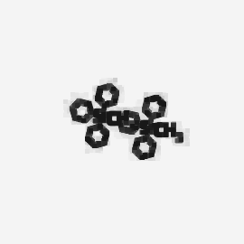 [CH3][Sn]([c]1ccccc1)([c]1ccccc1)[c]1ccccc1.[CH3][Sn]([c]1ccccc1)([c]1ccccc1)[c]1ccccc1